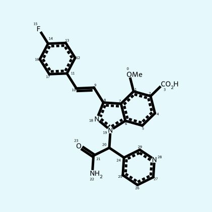 COc1c(C(=O)O)ccc2c1c(C=Cc1ccc(F)cc1)nn2C(C(N)=O)c1cccnc1